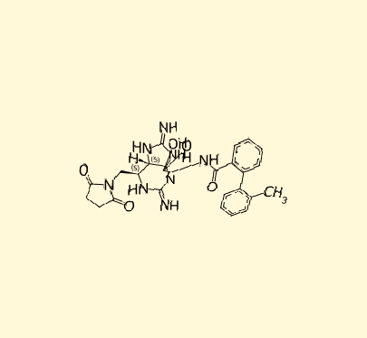 Cc1ccccc1-c1ccccc1C(=O)NC1CN2C(=N)N[C@@H](CN3C(=O)CCC3=O)[C@@H]3NC(=N)NC32C1(O)O